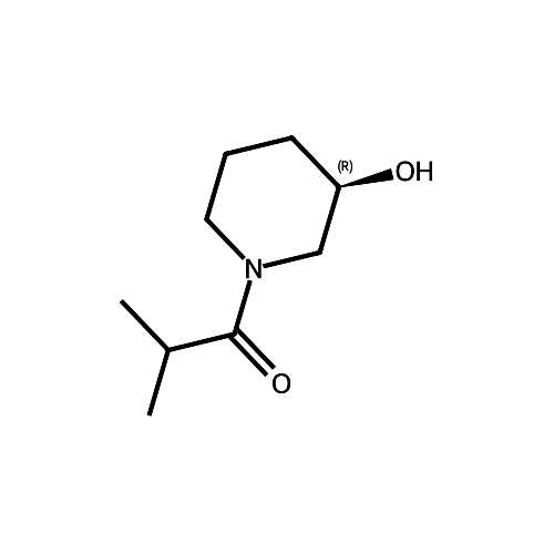 CC(C)C(=O)N1CCC[C@@H](O)C1